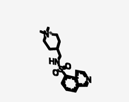 C[N+]1(C)CCC(CNS(=O)(=O)c2cccc3cnccc23)CC1